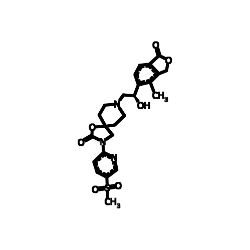 Cc1c([C@@H](O)CN2CCC3(CC2)CN(c2ccc(S(C)(=O)=O)cn2)C(=O)O3)ccc2c1COC2=O